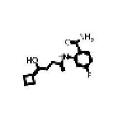 C=C(CCC(O)=C1CCC1)Nc1cc(F)ccc1C(N)=O